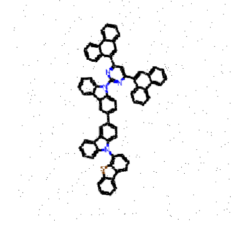 c1ccc2c(c1)cc(-c1cc(-c3cc4ccccc4c4ccccc34)nc(-n3c4ccccc4c4cc(-c5ccc6c(c5)c5ccccc5n6-c5cccc6c5sc5ccccc56)ccc43)n1)c1ccccc12